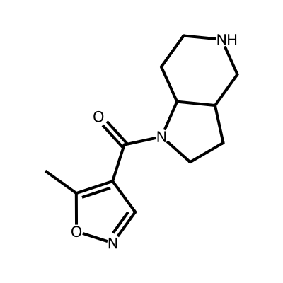 Cc1oncc1C(=O)N1CCC2CNCCC21